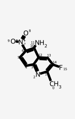 Cc1nc2ccc([N+](=O)[O-])c(N)c2cc1F